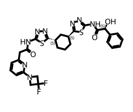 O=C(Cc1cccc(N2CC(F)(F)C2)n1)Nc1nnc([C@H]2CCC[C@H](c3nnc(NC(=O)[C@@H](O)c4ccccc4)s3)C2)s1